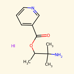 CC(OC(=O)c1cccnc1)C(C)(C)N.I